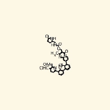 COc1nc(-c2cccc(-c3cccc(-c4ccn5c(=O)c(COC(=O)NCC6CCC(=O)N6)c(C)nc5c4)c3Cl)c2Cl)ccc1C=O